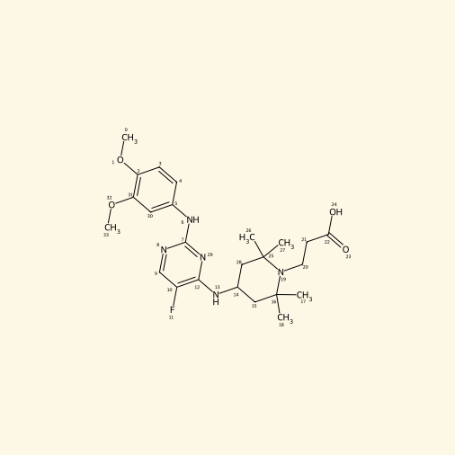 COc1ccc(Nc2ncc(F)c(NC3CC(C)(C)N(CCC(=O)O)C(C)(C)C3)n2)cc1OC